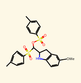 COc1ccc2c(c1)CC(C(OS(=O)(=O)c1ccc(C)cc1)S(=O)(=O)c1ccc(C)cc1)N2